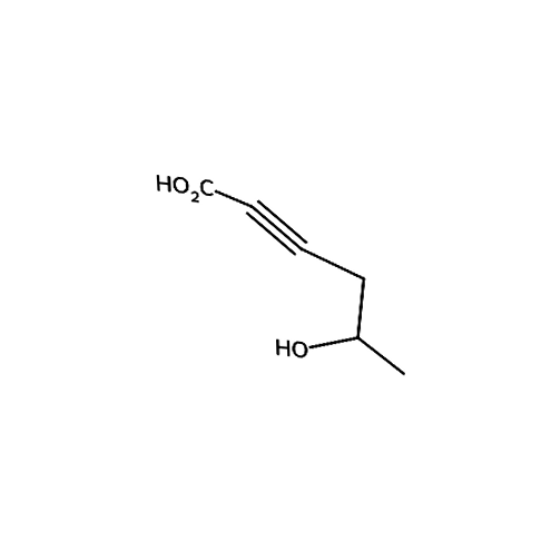 CC(O)CC#CC(=O)O